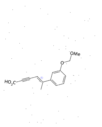 COCOc1cccc(/C(C)=C/C#CC(=O)O)c1